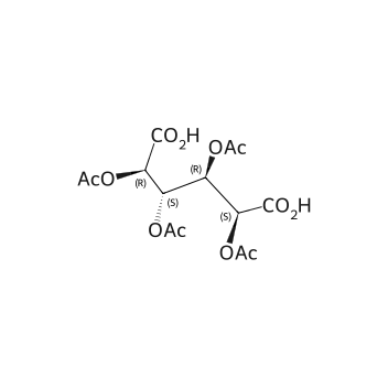 CC(=O)O[C@H]([C@H](OC(C)=O)[C@@H](OC(C)=O)C(=O)O)[C@H](OC(C)=O)C(=O)O